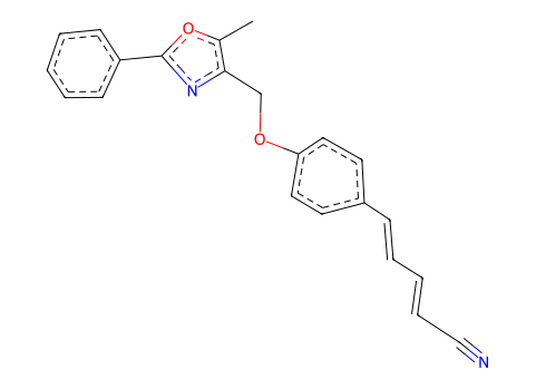 Cc1oc(-c2ccccc2)nc1COc1ccc(C=CC=CC#N)cc1